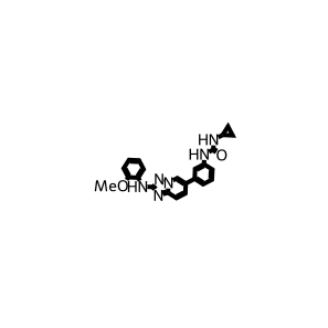 COc1ccccc1Nc1nc2ccc(-c3cccc(NC(=O)NC4CC4)c3)cn2n1